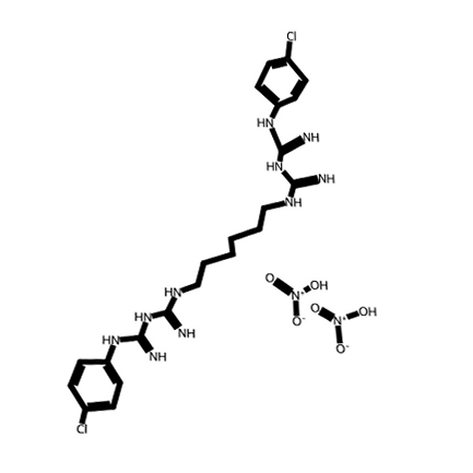 N=C(NCCCCCCNC(=N)NC(=N)Nc1ccc(Cl)cc1)NC(=N)Nc1ccc(Cl)cc1.O=[N+]([O-])O.O=[N+]([O-])O